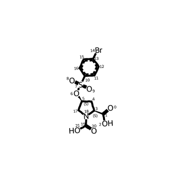 O=C(O)[C@@H]1C[C@H](OS(=O)(=O)c2ccc(Br)cc2)CN1C(=O)O